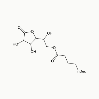 CCCCCCCCCCCCCC(=O)OCC(O)C1OC(=O)C(O)C1O